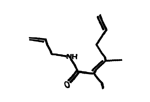 C=CCNC(=O)C(C)=C(C)CC=C